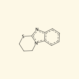 c1ccc2c(c1)nc1n2CCCS1